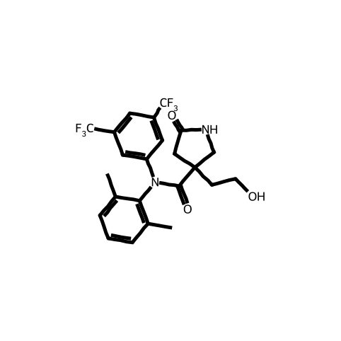 Cc1cccc(C)c1N(C(=O)C1(CCO)CNC(=O)C1)c1cc(C(F)(F)F)cc(C(F)(F)F)c1